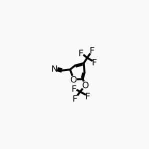 N#CC1C=C(C(F)(F)F)C=C(OC(F)(F)F)O1